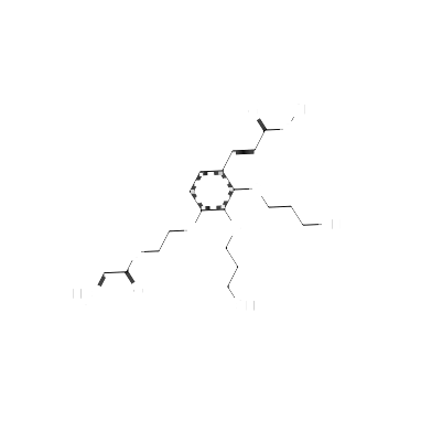 C=CC(=O)OCCOc1ccc(/C=C/C(=O)OC)c(OCCCC)c1OCCCC